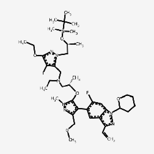 C=Cc1nn(C2CCCCO2)c2cc(F)c(-c3c(COC)nn(C)c3O[C@@H](C)CN(CC)Cc3c(I)c(OCC)nn3C[C@H](C)O[Si](C)(C)C(C)(C)C)cc12